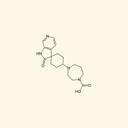 O=C(O)N1CCCN(C2CCC3(CC2)C(=O)Nc2cnccc23)CC1